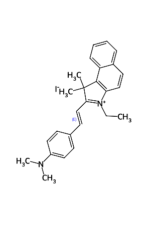 CC[N+]1=C(/C=C/c2ccc(N(C)C)cc2)C(C)(C)c2c1ccc1ccccc21.[I-]